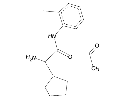 Cc1ccccc1NC(=O)C(N)C1CCCC1.O=CO